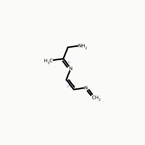 C=N/C=C\N=C(/C)CN